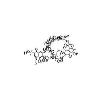 COc1c(N2CCC(NC(=O)C3CCN(C4=C5NC(=O)/C(C)=C\C=C\[C@H](C)[C@H](O)[C@@H](C)[C@@H](O)[C@@H](C)[C@H](OC(C)=O)[C@H](C)[C@@H](OC)/C=C/O[C@@]6(C)Oc7c(C)c(O)c(c(c7C6=O)C4=O)C5=O)CC3)C2)c(F)cc2c(=O)c(C(=O)O)cn(C3CC3)c12